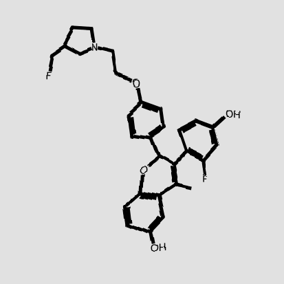 CC1=C(c2ccc(O)cc2F)C(c2ccc(OCCN3CCC(CF)C3)cc2)Oc2ccc(O)cc21